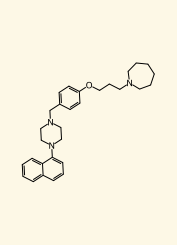 c1ccc2c(N3CCN(Cc4ccc(OCCCN5CCCCCC5)cc4)CC3)cccc2c1